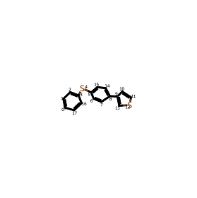 [c]1ccc(Sc2ccc(-c3ccsc3)cc2)cc1